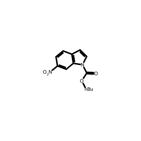 CCCCOC(=O)n1ccc2ccc([N+](=O)[O-])cc21